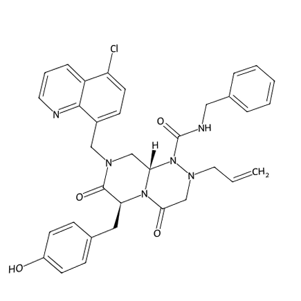 C=CCN1CC(=O)N2[C@@H](Cc3ccc(O)cc3)C(=O)N(Cc3ccc(Cl)c4cccnc34)C[C@@H]2N1C(=O)NCc1ccccc1